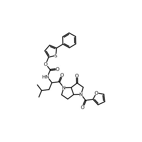 CC(C)CC(NC(=O)Oc1ccc(-c2ccccc2)s1)C(=O)N1CCC2C1C(=O)CN2C(=O)c1ccco1